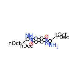 CCCCCCCCCCC(C#Cc1cc(N)c2nc3c4ccc5c6ccc7c(=O)n8c9cc(C#CC(CCCCCCCC)CCCCCCCCCC)cc(N)c9nc8c8ccc(c9ccc(c(=O)n3c2c1)c4c95)c6c78)CCCCCCCC